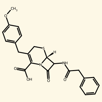 COc1ccc(CC2=C(C(=O)O)N3C(=O)C(NC(=O)Cc4ccccc4)[C@H]3SC2)cc1